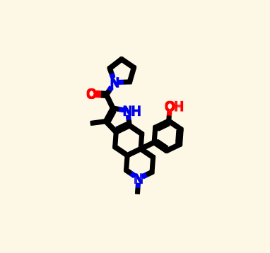 Cc1c(C(=O)N2CCCC2)[nH]c2c1CC1CN(C)CCC1(c1cccc(O)c1)C2